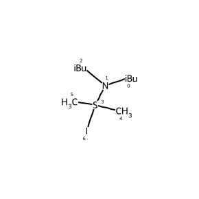 CCC(C)N(C(C)CC)S(C)(C)I